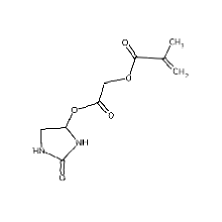 C=C(C)C(=O)OCC(=O)OC1CNC(=O)N1